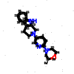 C[C@@H]1CN(c2ccc(N3CCc4c([nH]c5ccccc45)C3)cn2)CCO1